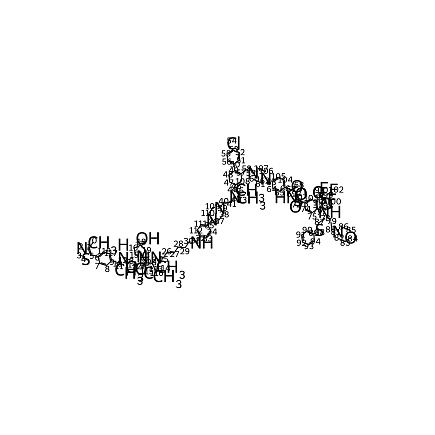 Cc1ncsc1-c1ccc([C@H](C)NC(=O)[C@@H]2C[C@@H](O)CN2C(=O)[C@@H](NCCCCCCNc2ccc(N3CCN(CCN(C)CC4(C)CCC(c5ccc(Cl)cc5)=C(CN5CCN(c6ccc(C(=O)NS(=O)(=O)c7ccc(N[C@H](CCN8CCOCC8)CSc8ccccc8)c(S(=O)(=O)C(F)(F)F)c7)cc6)CC5)C4)CC3)cc2)C(C)(C)C)cc1